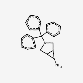 NC1C2CN(C(c3ccccc3)(c3ccccc3)c3ccccc3)CC12